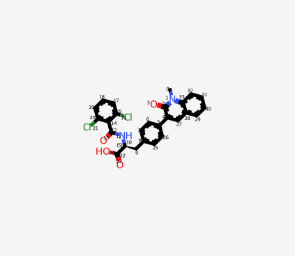 Cn1c(=O)c(-c2ccc(C[C@H](NC(=O)c3c(Cl)cccc3Cl)C(=O)O)cc2)cc2ccccc21